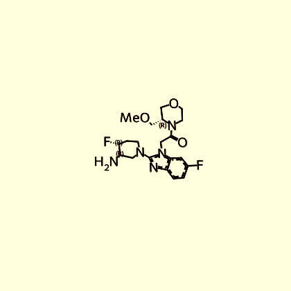 COC[C@@H]1COCCN1C(=O)Cn1c(N2CC[C@@H](F)[C@H](N)C2)nc2ccc(F)cc21